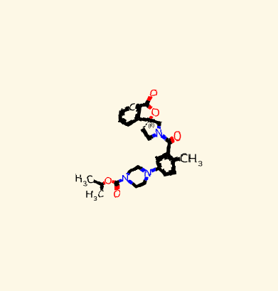 Cc1ccc(N2CCN(C(=O)OC(C)C)CC2)cc1C(=O)N1CC[C@@]2(C1)OC(=O)c1ccccc12